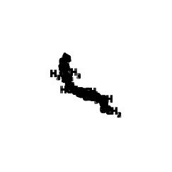 C=CC(=O)OCC(O)COc1ccc(C(C)(C)c2ccc(OCC(O)COc3ccc(C(C)(C)c4ccc(OC5CO5)cc4)cc3)cc2)cc1